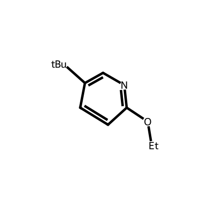 CCOc1ccc(C(C)(C)C)cn1